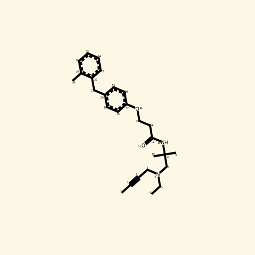 CC#CCN(CC)CC(C)(C)NC(=O)CCOc1ccc(Cc2ccccc2C)cc1